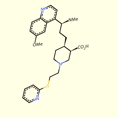 CN[C@@H](CC[C@@H]1CCN(CCSc2ccccn2)C[C@@H]1C(=O)O)c1ccnc2ccc(OC)cc12